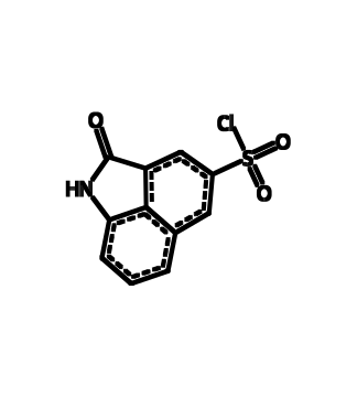 O=C1Nc2cccc3cc(S(=O)(=O)Cl)cc1c23